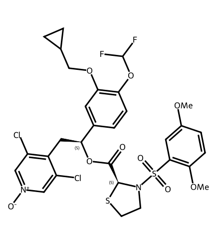 COc1ccc(OC)c(S(=O)(=O)N2CCS[C@H]2C(=O)O[C@@H](Cc2c(Cl)c[n+]([O-])cc2Cl)c2ccc(OC(F)F)c(OCC3CC3)c2)c1